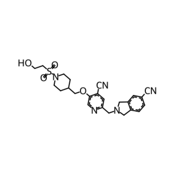 N#Cc1ccc2c(c1)CN(Cc1cc(C#N)c(OCC3CCN(S(=O)(=O)CCO)CC3)cn1)C2